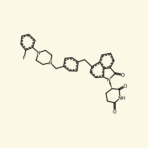 O=C1CC[C@@H](N2C(=O)c3cccc4c(Cc5ccc(CN6CCN(c7ccccc7F)CC6)cc5)ccc2c34)C(=O)N1